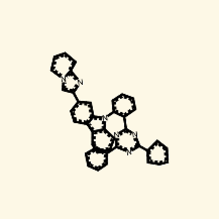 c1ccc(-c2nc(-c3ccccc3)nc(-c3ccccc3-n3c4ccccc4c4ccc(-c5cn6ccccc6n5)cc43)n2)cc1